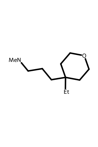 CCC1(CCCNC)CCOCC1